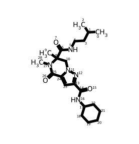 CC(C)CCNC(=O)C1(C)Cn2nc(C(=O)NC3CCCCC3)cc2C(=O)N1C